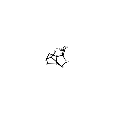 COC1C2CC3C(=O)OC1C3C2